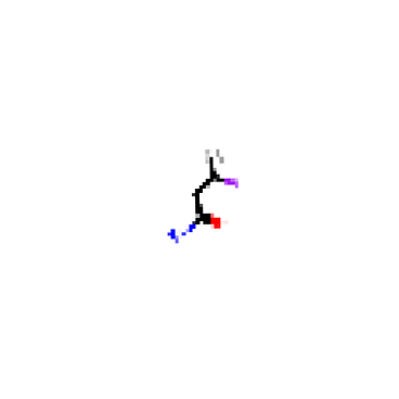 CC(I)CC(N)=O